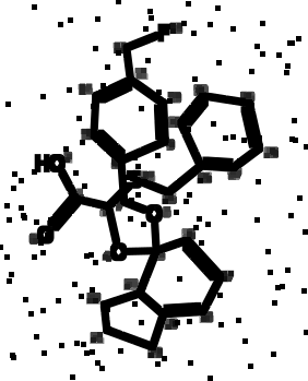 O=C(O)C(OC1(OCc2ccc(CF)cc2)C=CC=C2CCCC21)SCc1ccccc1